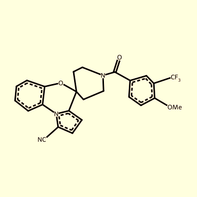 COc1ccc(C(=O)N2CCC3(CC2)Oc2ccccc2-n2c(C#N)ccc23)cc1C(F)(F)F